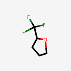 FC(F)(F)C1CC[CH]O1